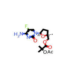 CC(=O)OC(C)(C)C(=O)OC[C@]1(C)CC[C@H](n2cc(F)c(N)nc2=O)O1